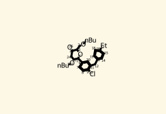 CCCCOCC1OC(c2ccc(Cl)c(Cc3ccc(CC)cc3)c2)C(OCCCC)CC1=O